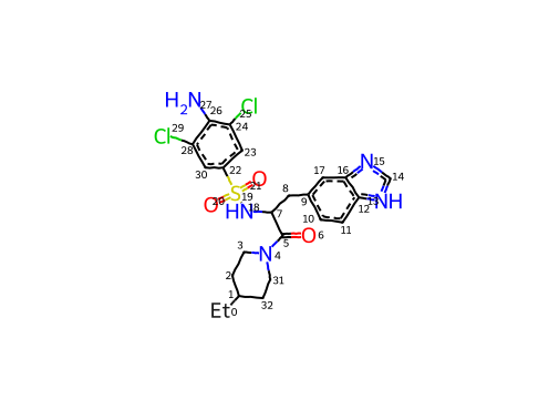 CCC1CCN(C(=O)C(Cc2ccc3[nH]cnc3c2)NS(=O)(=O)c2cc(Cl)c(N)c(Cl)c2)CC1